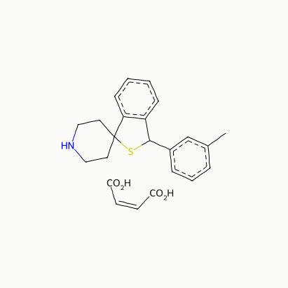 Cc1cccc(C2SC3(CCNCC3)c3ccccc32)c1.O=C(O)/C=C\C(=O)O